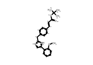 COc1ccccc1-c1cnc(Cc2ccc(/C=C/C(=O)OC(C)(C)C)cc2)[nH]1